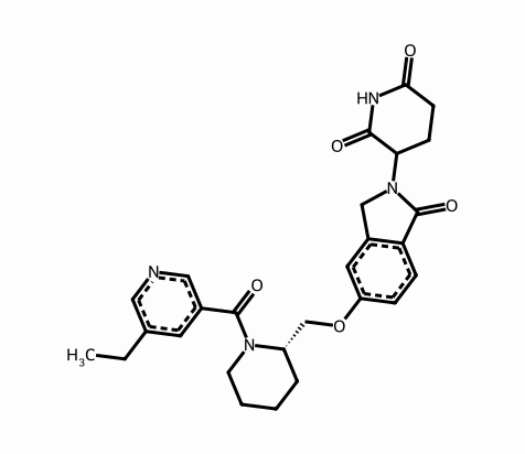 CCc1cncc(C(=O)N2CCCC[C@H]2COc2ccc3c(c2)CN(C2CCC(=O)NC2=O)C3=O)c1